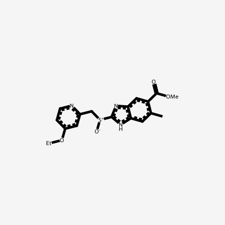 CCOc1ccnc(C[S+]([O-])c2nc3cc(C(=O)OC)c(C)cc3[nH]2)c1